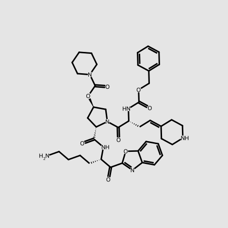 NCCCC[C@H](NC(=O)[C@@H]1C[C@@H](OC(=O)N2CCCCC2)CN1C(=O)[C@@H](CC=C1CCNCC1)NC(=O)OCc1ccccc1)C(=O)c1nc2ccccc2o1